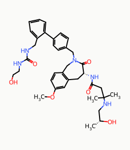 COc1ccc2c(c1)C[C@@H](NC(=O)CC(C)(C)NC[C@@H](C)O)C(=O)N(Cc1ccc(-c3ccccc3CNC(=O)NCCO)cc1)C2